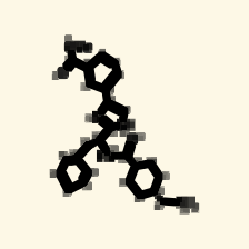 COC(=O)c1cccc(-c2c[nH]c([C@H](Cc3ccccc3)NC(=O)[C@H]3CC[C@H](CN)CC3)n2)c1